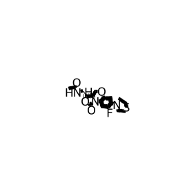 CC(=O)NC[C@H]1OC(=O)N2c3cc(F)c(N4CCSCC4)cc3OC[C@H]12